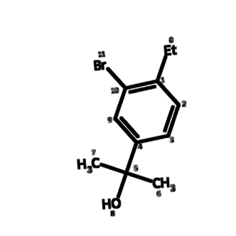 CCc1ccc(C(C)(C)O)cc1Br